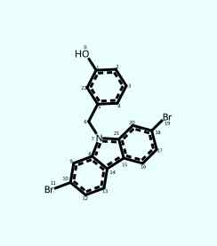 Oc1cccc(Cn2c3cc(Br)ccc3c3ccc(Br)cc32)c1